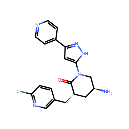 N[C@H]1C[C@H](Cc2ccc(Cl)nc2)C(=O)N(c2cc(-c3ccncc3)n[nH]2)C1